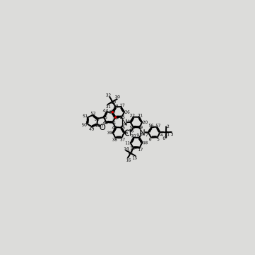 CC(C)(C)c1ccc(N(c2ccc(C(C)(C)C)cc2)c2cccc(N(c3ccc(C(C)(C)C)cc3)c3ccccc3-c3cccc4c3oc3ccccc34)c2Cl)cc1